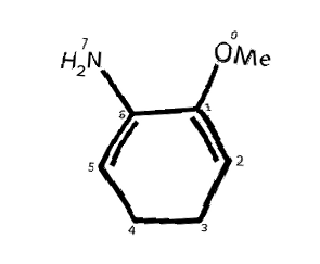 COC1=CCCC=C1N